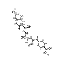 COC(=O)N1CCC(Nc2cc(C(=O)NCC(O)[C@@H]3Cc4ccc(OC)cc4CN3)ccn2)CC1